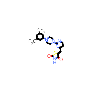 O=C1NC(=O)C(=Cc2ccnc(N3CCN(c4cc(C(F)(F)F)cc(C(F)(F)F)c4)CC3)n2)S1